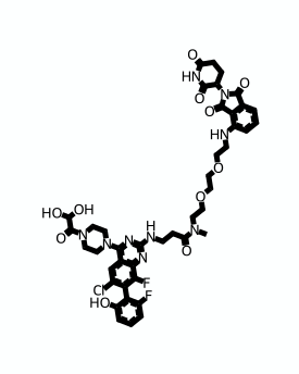 CN(CCOCCOCCNc1cccc2c1C(=O)N(C1CCC(=O)NC1=O)C2=O)C(=O)CCNc1nc(N2CCN(C(=O)C(O)O)CC2)c2cc(Cl)c(-c3c(O)cccc3F)c(F)c2n1